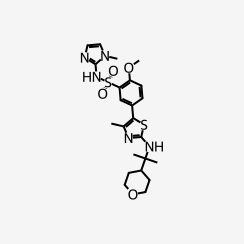 COc1ccc(-c2sc(NC(C)(C)C3CCOCC3)nc2C)cc1S(=O)(=O)Nc1nccn1C